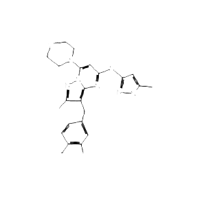 Cc1cc(Nc2cc(N3CCOCC3)n3nc(C)c(Cc4ccc(Cl)c(F)c4)c3n2)n[nH]1